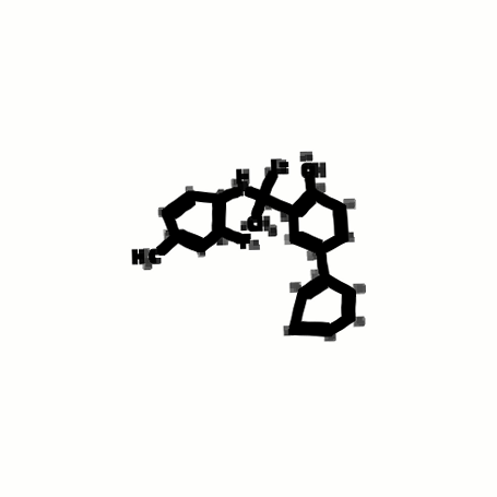 CCC(C)(Pc1ccc(C)cc1F)c1cc(-c2ccccc2)ccc1O